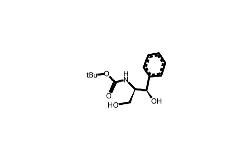 CC(C)(C)OC(=O)N[C@H](CO)[C@H](O)c1ccccc1